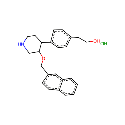 Cl.OCCc1ccc(C2CCNCC2OCc2ccc3ccccc3c2)cc1